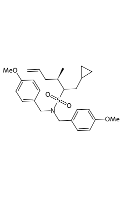 C=CC[C@@H](C)C(CC1CC1)S(=O)(=O)N(Cc1ccc(OC)cc1)Cc1ccc(OC)cc1